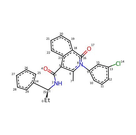 CC[C@H](NC(=O)c1c(C)n(-c2cccc(Cl)c2)c(=O)c2ccccc12)c1ccccc1